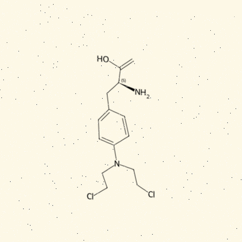 C=C(O)[C@@H](N)Cc1ccc(N(CCCl)CCCl)cc1